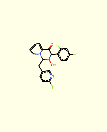 O=C1C2=CC=CCN2C(Cc2ccc(F)nc2)N(O)C1c1ccc(F)cc1F